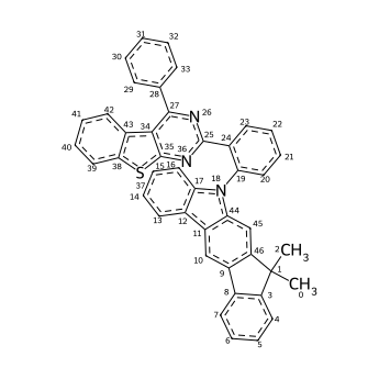 CC1(C)c2ccccc2-c2cc3c4ccccc4n(-c4ccccc4-c4nc(-c5ccccc5)c5c(n4)sc4ccccc45)c3cc21